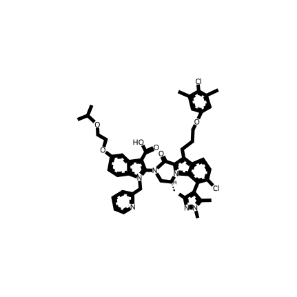 Cc1cc(OCCCc2c3n(c4c(-c5c(C)nn(C)c5C)c(Cl)ccc24)[C@H](C)CN(c2c(C(=O)O)c4cc(OCCOC(C)C)ccc4n2Cc2ccccn2)C3=O)cc(C)c1Cl